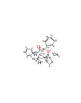 CC1(C)C(=O)[C@@]2(C)CC[C@@H]1C2.O=C(Cc1ccccc1)Cc1ccccc1